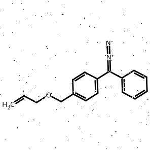 C=CCOCc1ccc(C(=[N+]=[N-])c2ccccc2)cc1